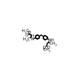 COC(=O)CC(C)Nc1ccc(Cc2ccc(NC(C)CC(=O)OC)cc2)cc1